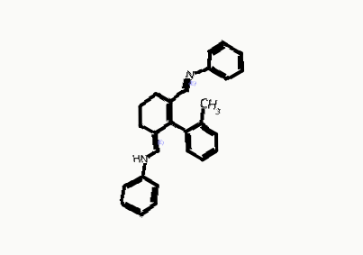 Cc1ccccc1C1=C(/C=N/c2ccccc2)CCC/C1=C\Nc1ccccc1